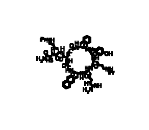 CC(C)NCCCC[C@@H]1NC(=O)[C@H](Cc2ccc(O)cc2)NC(=O)[C@H](Cc2ccccc2)NC(=O)CC[C@H](C(=O)N[C@@H](CCCCNC(C)C)C(=O)N[C@@H](S)C(N)=O)NC(=O)CNC(=O)[C@H](Cc2ccc3ccccc3c2)NC(=O)[C@@H](CCCNC(=N)N)NC1=O